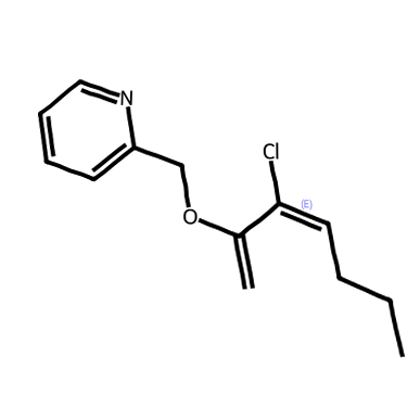 C=C(OCc1ccccn1)/C(Cl)=C\CCC